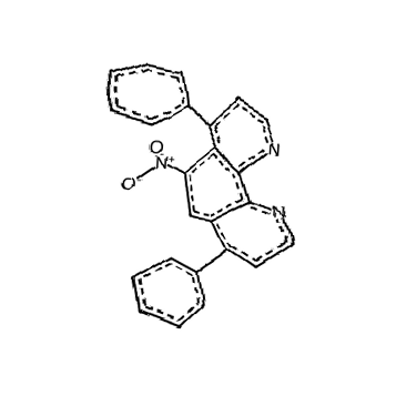 O=[N+]([O-])c1cc2c(-c3ccccc3)ccnc2c2nccc(-c3ccccc3)c12